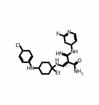 CCC1(N/C=C(\C(=N)NC2C=CN=C(F)C2)C(N)=O)CCC(NC2=CCC(Cl)C=C2)CC1